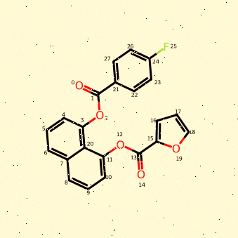 O=C(Oc1cccc2cccc(OC(=O)c3ccco3)c12)c1ccc(F)cc1